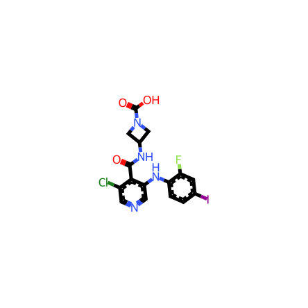 O=C(NC1CN(C(=O)O)C1)c1c(Cl)cncc1Nc1ccc(I)cc1F